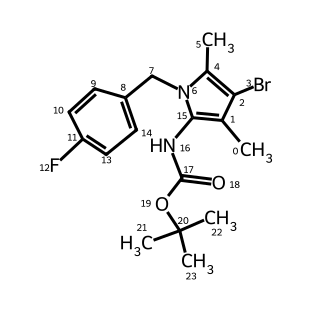 Cc1c(Br)c(C)n(Cc2ccc(F)cc2)c1NC(=O)OC(C)(C)C